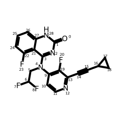 O=c1nc(N(CC(F)F)c2ccnc(C#CC3CC3)c2F)c2c(F)cccc2[nH]1